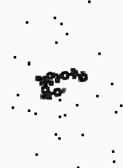 CS[C@@]1(C(=O)Nc2ccc3[nH]nc(-c4ccc(F)cc4)c3c2)CCN(CC(=O)N2CC=C(c3ncc(-c4ncccn4)s3)CC2)C1